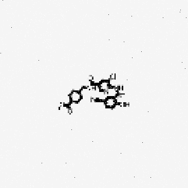 COC(=O)C1CCC(CNC(=O)c2cnc(N[C@@H](C)c3cc(C#N)ccc3O)c(Cl)c2)CC1